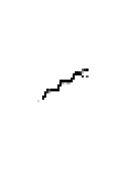 [CH]CCCC[C]=O